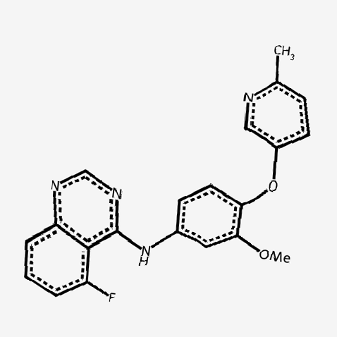 COc1cc(Nc2ncnc3cccc(F)c23)ccc1Oc1ccc(C)nc1